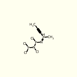 CC#C/[PH](C)=N\P(Cl)N(Cl)P(Cl)Cl